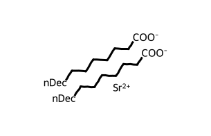 CCCCCCCCCCCCCCCCC(=O)[O-].CCCCCCCCCCCCCCCCC(=O)[O-].[Sr+2]